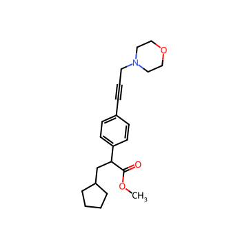 COC(=O)C(CC1CCCC1)c1ccc(C#CCN2CCOCC2)cc1